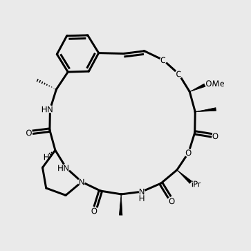 CO[C@@H]1CC/C=C/c2cccc(c2)[C@@H](C)NC(=O)[C@@H]2CCCN(N2)C(=O)[C@H](C)NC(=O)[C@H](C(C)C)OC(=O)[C@@H]1C